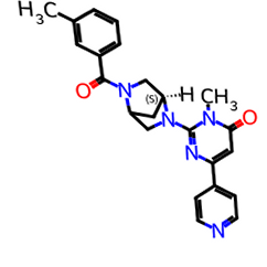 Cc1cccc(C(=O)N2C[C@@H]3CC2CN3c2nc(-c3ccncc3)cc(=O)n2C)c1